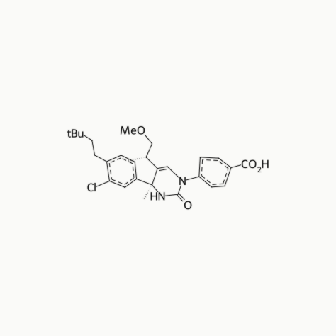 COC[C@@H](C)C1=CN(c2ccc(C(=O)O)cc2)C(=O)N[C@@]1(C)c1ccc(CCC(C)(C)C)c(Cl)c1